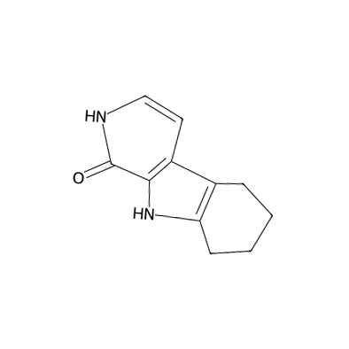 O=c1[nH]ccc2c3c([nH]c12)CCCC3